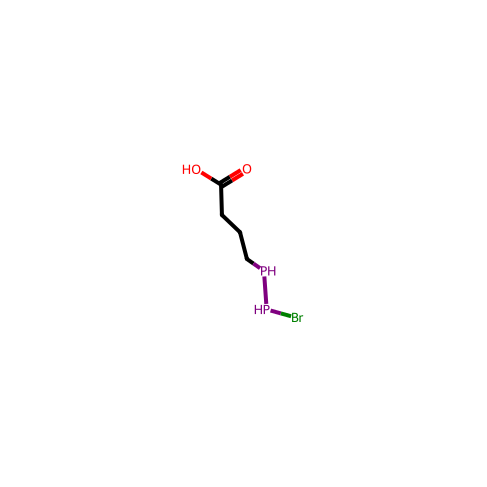 O=C(O)CCCPPBr